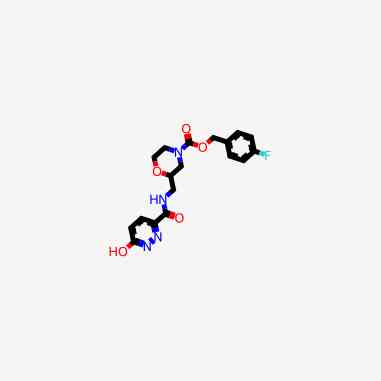 O=C(NCC1CN(C(=O)OCc2ccc(F)cc2)CCO1)c1ccc(O)nn1